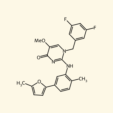 COc1cn(Cc2cc(F)cc(F)c2)c(Nc2cc(-c3ccc(C)o3)ccc2C)nc1=O